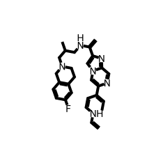 C=CN/C=C\C(=C/C)c1cn2cc(C(=C)NCC(C)CN3CCc4cc(F)ccc4C3)nc2cn1